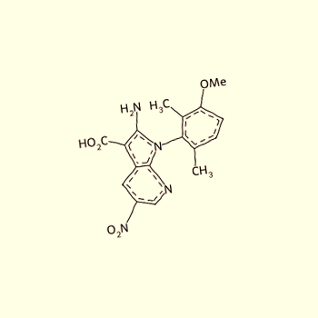 COc1ccc(C)c(-n2c(N)c(C(=O)O)c3cc([N+](=O)[O-])cnc32)c1C